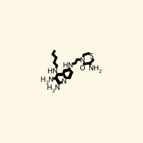 CCCCCNc1c(N)c(N)nc2ccc(NCCN3CCSCC(N)C3=O)cc12